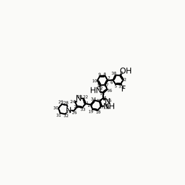 Oc1cc(F)cc(-c2cccc3[nH]c(-c4n[nH]c5ccc(-c6cncc(CN7CCCCC7)c6)cc45)cc23)c1